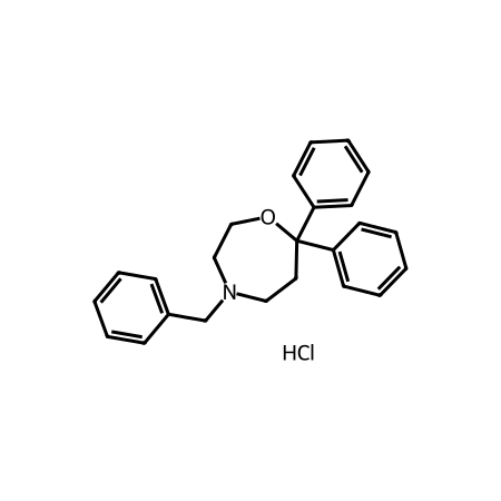 Cl.c1ccc(CN2CCOC(c3ccccc3)(c3ccccc3)CC2)cc1